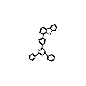 c1ccc(-c2nc(-c3ccccc3)nc(-c3ccc(-c4cccc5c4oc4ccccc45)cc3)n2)cc1